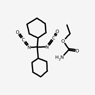 CCOC(N)=O.O=C=NC(N=C=O)(C1CCCCC1)C1CCCCC1